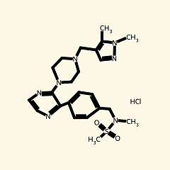 Cc1c(CN2CCN(c3nccnc3-c3ccc(CN(C)S(C)(=O)=O)cc3)CC2)cnn1C.Cl